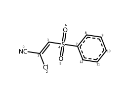 N#CC(Cl)=CS(=O)(=O)c1ccccc1